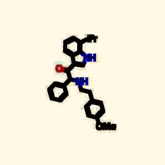 COc1ccc(CCNC(C(=O)c2c[nH]c3c(C(C)C)cccc23)c2ccccc2)cc1